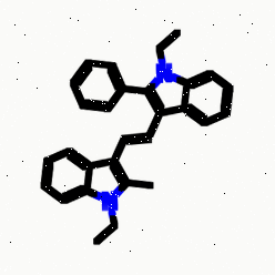 CCn1c(C)c(C=Cc2c(-c3ccccc3)n(CC)c3ccccc23)c2ccccc21